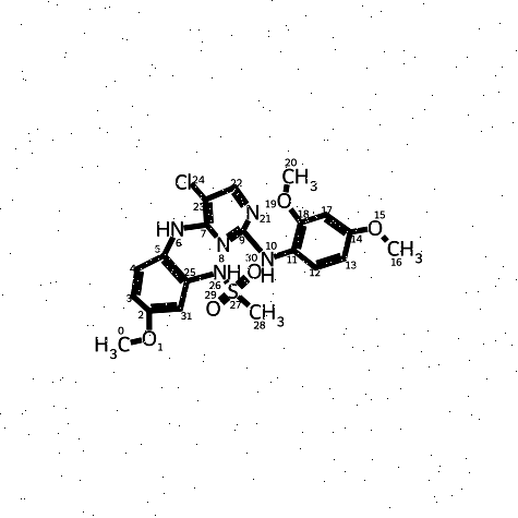 COc1ccc(Nc2nc(Nc3ccc(OC)cc3OC)ncc2Cl)c(NS(C)(=O)=O)c1